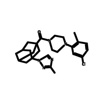 Cc1ncn(C23CC4CC(CC(C(=O)N5CCN(c6cc(Cl)ccc6C)CC5)(C4)C2)C3)n1